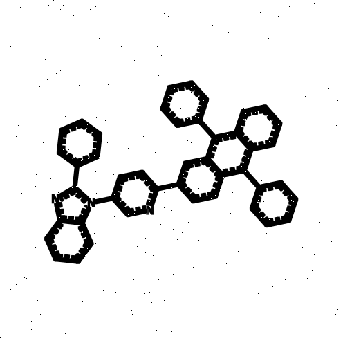 c1ccc(-c2c3ccccc3c(-c3ccccc3)c3cc(-c4ccc(-n5c(-c6ccccc6)nc6ccccc65)cn4)ccc23)cc1